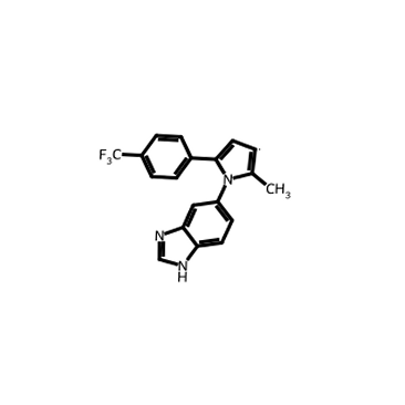 Cc1[c]cc(-c2ccc(C(F)(F)F)cc2)n1-c1ccc2[nH]cnc2c1